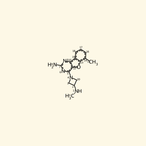 CNC1CN(c2nc(N)nc3c2oc2c(C)cccc23)C1